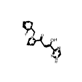 O=C(C=C(O)c1nc[nH]n1)c1cccn1Cc1ccccc1F